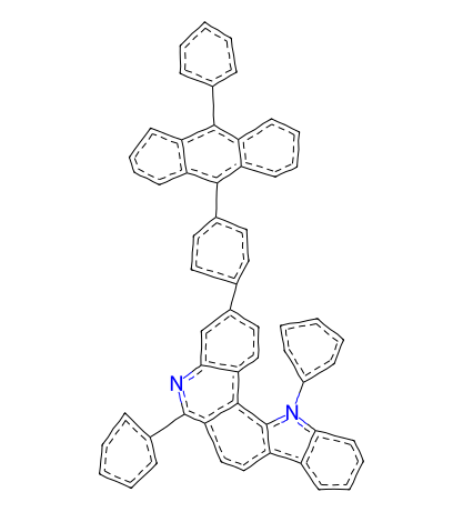 c1ccc(-c2c3ccccc3c(-c3ccc(-c4ccc5c(c4)nc(-c4ccccc4)c4ccc6c7ccccc7n(-c7ccccc7)c6c45)cc3)c3ccccc23)cc1